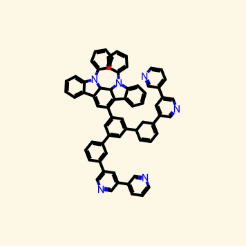 C1=CC(c2cc(C3=C4c5ccccc5N(c5ccccc5)C4C4C(=C3)c3ccccc3N4c3ccccc3)cc(-c3cccc(-c4cncc(-c5cccnc5)c4)c3)c2)CC(c2cncc(-c3cccnc3)c2)=C1